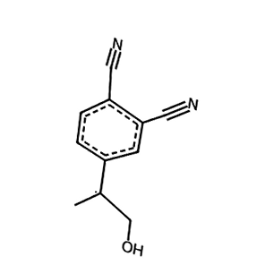 C[C](CO)c1ccc(C#N)c(C#N)c1